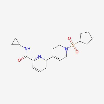 O=C(NC1CC1)c1cccc(C2=CCN(S(=O)(=O)C3CCCC3)CC2)n1